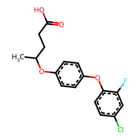 CC(CCC(=O)O)Oc1ccc(Oc2ccc(Cl)cc2F)cc1